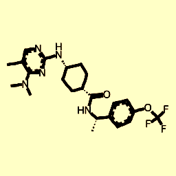 Cc1cnc(N[C@H]2CC[C@@H](C(=O)N[C@@H](C)c3ccc(OC(F)(F)F)cc3)CC2)nc1N(C)C